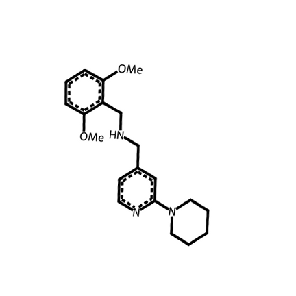 COc1cccc(OC)c1CNCc1ccnc(N2CCCCC2)c1